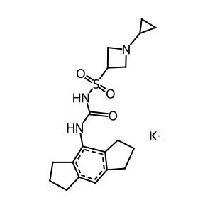 O=C(Nc1c2c(cc3c1CCC3)CCC2)NS(=O)(=O)C1CN(C2CC2)C1.[K]